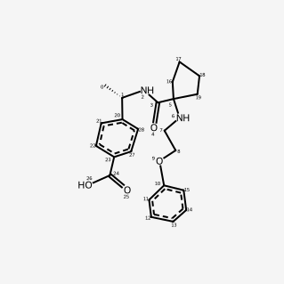 C[C@H](NC(=O)C1(NCCOc2ccccc2)CCCC1)c1ccc(C(=O)O)cc1